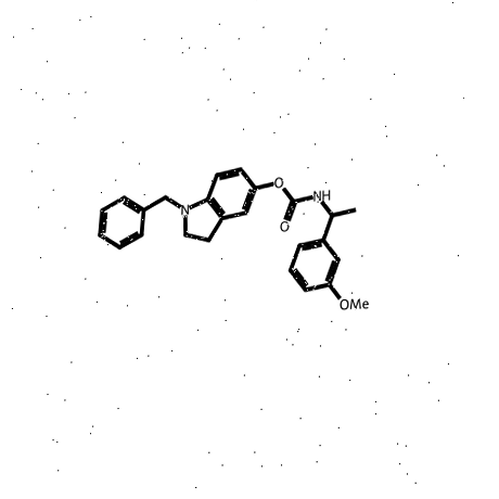 COc1cccc(C(C)NC(=O)Oc2ccc3c(c2)CCN3Cc2ccccc2)c1